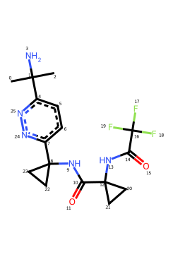 CC(C)(N)c1ccc(C2(NC(=O)C3(NC(=O)C(F)(F)F)CC3)CC2)nn1